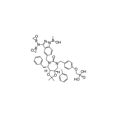 CB(O)n1nc(N(B2CO2)B2CO2)c2cc(CN3C(=O)N(Cc4ccc(OCP(=O)(O)O)cc4)[C@H](Cc4ccccc4)[C@@H]4OC(C)(C)O[C@H]4[C@H]3Cc3ccccc3)ccc21